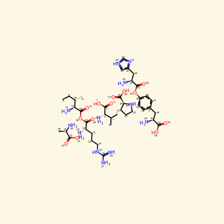 CC(C)[C@H](N)C(=O)O.CC[C@H](C)[C@H](N)C(=O)OC(=O)[C@@H](N)CCCNC(=N)N.C[C@@H](N)C(=O)O.N[C@@H](Cc1ccc(OC(=O)[C@@H](N)Cc2c[nH]cn2)cc1)C(=O)O.O=C(O)[C@@H]1CCCN1